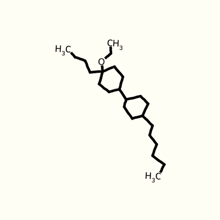 CCCCCCC1CCC(C2CCC(CCCC)(OCC)CC2)CC1